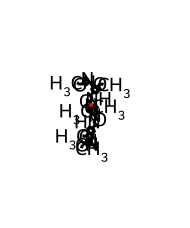 COc1cnn(Cc2cc(CNC(=O)N3CC4(C)CN(C(=O)NCc5ccc(OC)c(Cn6cc(OC)cn6)c5)CC(C)(C3)C4=O)ccc2OC)c1